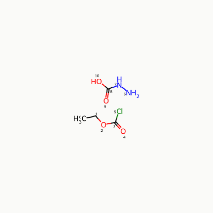 CCOC(=O)Cl.NNC(=O)O